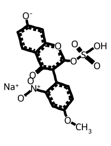 COc1ccc(-c2c(OS(=O)(=O)O)oc3cc([O-])ccc3c2=O)c([N+](=O)[O-])c1.[Na+]